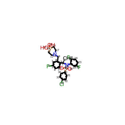 C[C@H](c1ccc(F)cc1CN1CCS(O)(O)CC1)N(c1cc(F)ccc1F)S(=O)(=O)c1ccc(Cl)cc1